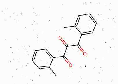 Cc1ccccc1C(=O)C(=O)C(=O)c1ccccc1C